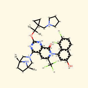 [2H]C([2H])(Oc1nc(N2C[C@H]3CC[C@@H](C2)N3)c2cc(C(F)(F)F)n(-c3cc(O)cc4ccc(F)c(F)c34)c(=O)c2n1)C1(CN2CCCC2)CC1